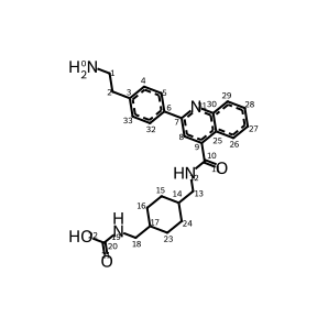 NCCc1ccc(-c2cc(C(=O)NCC3CCC(CNC(=O)O)CC3)c3ccccc3n2)cc1